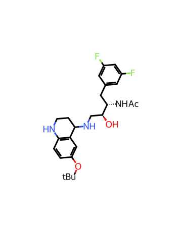 CC(=O)N[C@@H](Cc1cc(F)cc(F)c1)[C@@H](O)CNC1CCNc2ccc(OC(C)(C)C)cc21